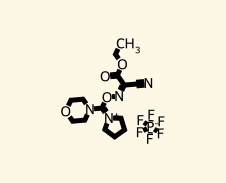 CCOC(=O)C(C#N)=NOC(N1CCOCC1)=[N+]1CCCC1.F[P-](F)(F)(F)(F)F